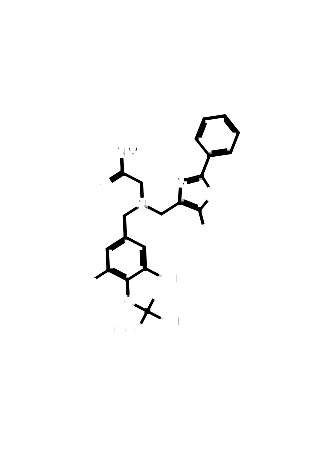 CNC(=O)CN(Cc1cc(C)c(OC(C)(C)C(=O)O)c(C)c1)Cc1nc(-c2ccccc2)oc1C